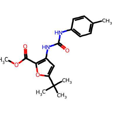 COC(=O)c1oc(C(C)(C)C)cc1NC(=O)Nc1ccc(C)cc1